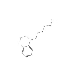 NCCCCCN1CCOc2ccccc21